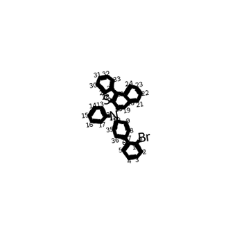 Brc1ccccc1-c1ccc(N(c2ccccc2)c2cc3ccccc3c3c2sc2ccccc23)cc1